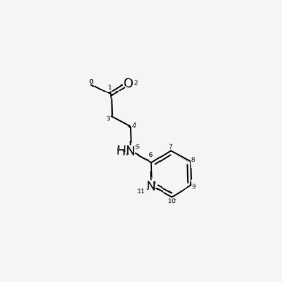 CC(=O)CCNc1ccccn1